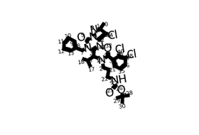 Cc1nn2c(=O)n(Cc3ccccc3)c(C(C(C)C)N(CCCNC(=O)OC(C)(C)C)C(=O)c3cccc(Cl)c3Cl)nc2c1Cl